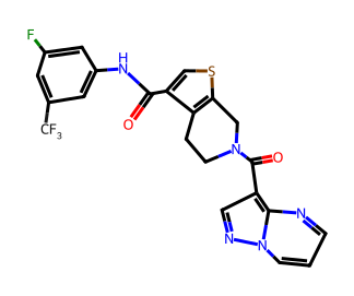 O=C(Nc1cc(F)cc(C(F)(F)F)c1)c1csc2c1CCN(C(=O)c1cnn3cccnc13)C2